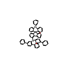 c1ccc(-c2ccc(N(c3cc(-c4ccccc4)ccc3-c3ccccc3)c3cccc4c3-c3ccccc3C43c4ccccc4N(c4ccccc4)c4ccccc43)cc2)cc1